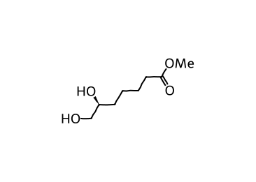 COC(=O)CCCC[C@H](O)CO